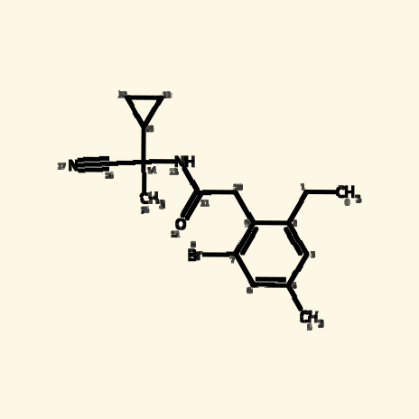 CCc1cc(C)cc(Br)c1CC(=O)NC(C)(C#N)C1CC1